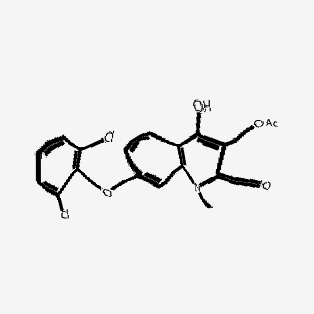 CC(=O)Oc1c(O)c2ccc(Oc3c(Cl)cccc3Cl)cc2n(C)c1=O